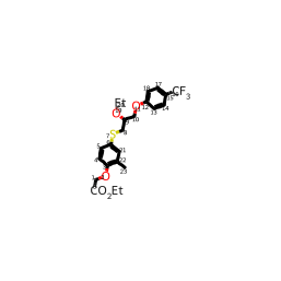 CCOC(=O)COc1ccc(SCC(COc2ccc(C(F)(F)F)cc2)OCC)cc1C